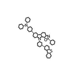 c1ccc(-c2nc3ccc4c5cc(-c6ccc(N(c7ccccc7)c7ccccc7)cc6)ccc5n(-c5cccc(-c6ccc7sc8ccccc8c7c6)c5)c4c3o2)cc1